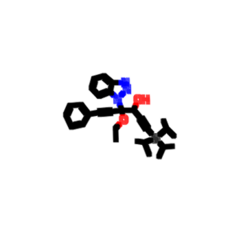 CCOC(C#Cc1ccccc1)(C(O)C#C[Si](C(C)C)(C(C)C)C(C)C)n1nnc2ccccc21